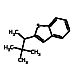 CC(c1cc2ccccc2s1)C(C)(C)C